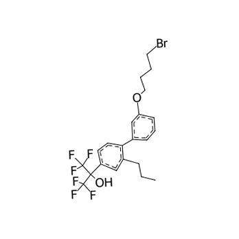 CCCc1cc(C(O)(C(F)(F)F)C(F)(F)F)ccc1-c1cccc(OCCCCBr)c1